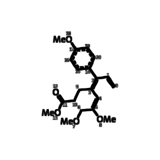 C=C/C(=C(\C=C(/COC)OC)CCC(=O)OC)c1ccc(OC)cc1